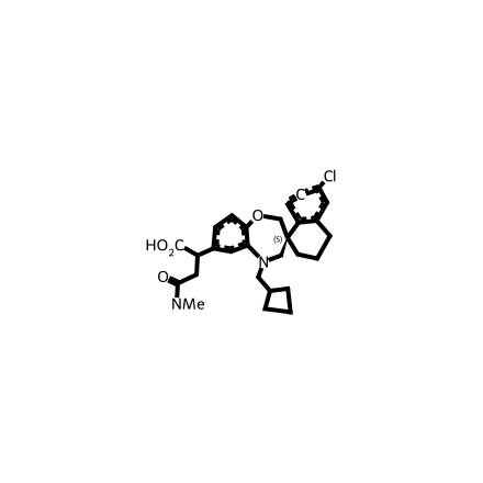 CNC(=O)CC(C(=O)O)c1ccc2c(c1)N(CC1CCC1)C[C@@]1(CCCc3cc(Cl)ccc31)CO2